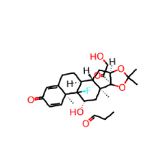 CC1(C)O[C@@H]2C[C@H]3[C@@H]4CCC5=CC(=O)C=C[C@]5(C)C4(F)[C@@H](O)C[C@]3(C)[C@]2(C(=O)CO)O1.CCC=O